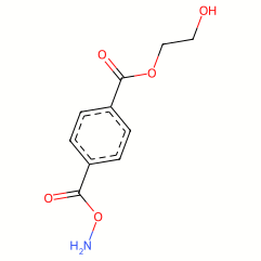 NOC(=O)c1ccc(C(=O)OCCO)cc1